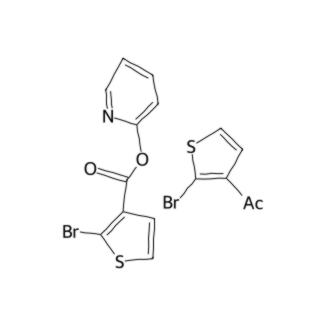 CC(=O)c1ccsc1Br.O=C(Oc1ccccn1)c1ccsc1Br